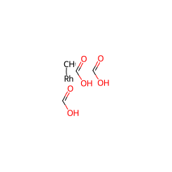 O=CO.O=CO.O=CO.[CH][Rh]